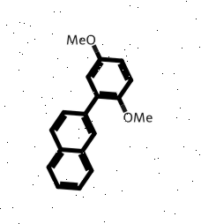 COc1ccc(OC)c(-c2ccc3ccccc3c2)c1